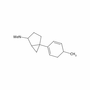 CNC1CCC2(C3=CCC(C)C=C3)CC12